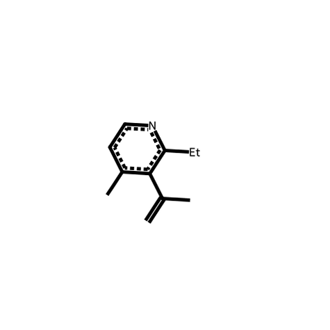 C=C(C)c1c(C)ccnc1CC